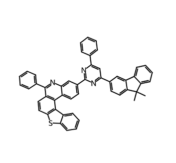 CC1(C)c2ccccc2-c2cc(-c3cc(-c4ccccc4)nc(-c4ccc5c(c4)nc(-c4ccccc4)c4ccc6sc7ccccc7c6c45)n3)ccc21